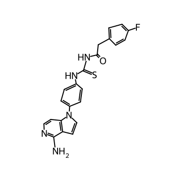 Nc1nccc2c1ccn2-c1ccc(NC(=S)NC(=O)Cc2ccc(F)cc2)cc1